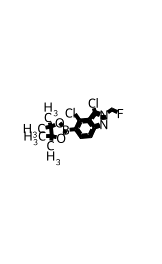 CC1(C)OB(c2ccc3nn(CF)c(Cl)c3c2Cl)OC1(C)C